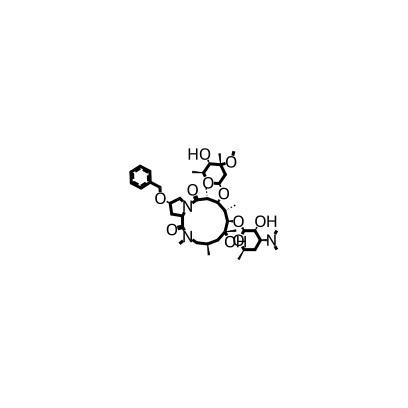 CO[C@]1(C)C[C@H](O[C@H]2[C@H](C)[C@@H](O[C@@H]3O[C@H](C)C[C@H](N(C)C)[C@H]3O)[C@](C)(O)C[C@@H](C)CN(C)C(=O)C3C[C@H](OCc4ccccc4)CN3C(=O)[C@@H]2C)O[C@@H](C)[C@@H]1O